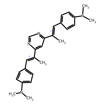 C/C(=C\c1ccc(N(C)C)cc1)c1cc(/C(C)=C/c2ccc(N(C)C)cc2)ncn1